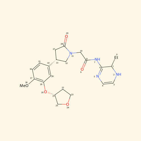 CCC1NC=CN=C1NC(=O)CN1C[C@H](c2ccc(OC)c(O[C@@H]3CCOC3)c2)CC1=O